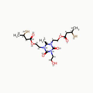 C=C1N(CCOC(=O)CC(C)S)C(=O)N(CCO)C(=O)N1CCOC(=O)CC(C)S